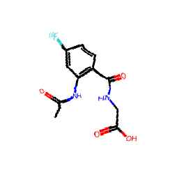 CC(=O)Nc1cc([18F])ccc1C(=O)NCC(=O)O